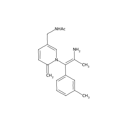 C=C1C=CC(CNC(C)=O)=CN1/C(=C(/C)N)c1cccc(C)c1